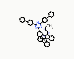 C\C=C/C=C1\C(=C2/C=C(c3nc(-c4ccc(-c5ccccc5)cc4)nc(-c4ccc(-c5ccccc5)cc4)n3)C=CC2C)C2(c3ccccc31)c1ccccc1-c1ccccc12